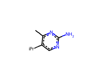 Cc1nc(N)ncc1C(C)C